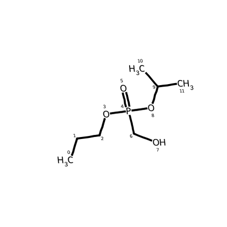 CCCOP(=O)(CO)OC(C)C